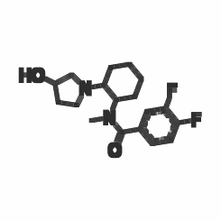 CN(C(=O)c1ccc(F)c(F)c1)C1CCCCC1N1CCC(O)C1